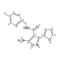 Cc1ccc(CNC(=O)c2c(-c3ccco3)noc2N)cc1